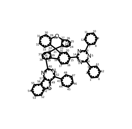 c1ccc(-c2nc(-c3ccccc3)nc(-c3ccc4c(c3)C3(c5ccccc5Oc5ccccc53)c3cccc(-c5nc(-c6ccccc6)c6sc7ccccc7c6n5)c3-4)n2)cc1